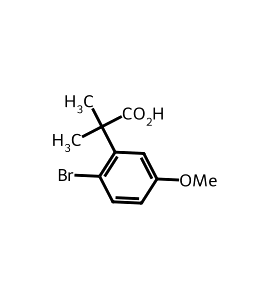 COc1ccc(Br)c(C(C)(C)C(=O)O)c1